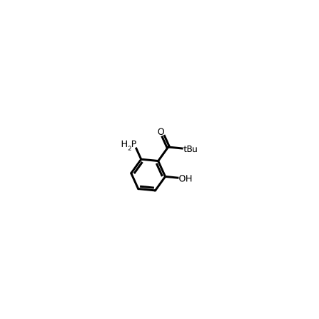 CC(C)(C)C(=O)c1c(O)cccc1P